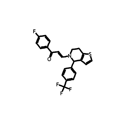 O=C(C=CN1CCc2sccc2C1c1ccc(C(F)(F)F)cc1)c1ccc(F)cc1